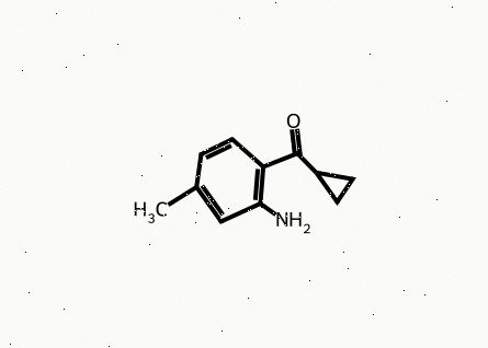 Cc1ccc(C(=O)C2CC2)c(N)c1